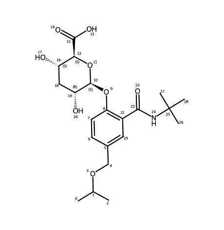 CC(C)OCc1ccc(O[C@@H]2O[C@H](C(=O)O)[C@@H](O)C[C@H]2O)c(C(=O)NC(C)(C)C)c1